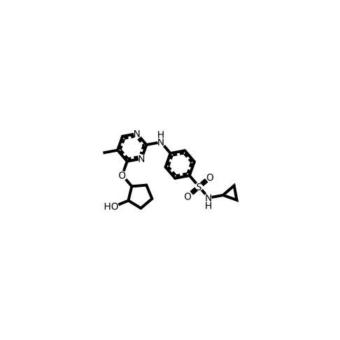 Cc1cnc(Nc2ccc(S(=O)(=O)NC3CC3)cc2)nc1OC1CCCC1O